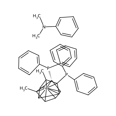 CN(C)c1ccccc1.C[C]12[CH]3[CH]4[CH]5[C]1(P(c1ccccc1)c1ccccc1)[Fe]43521678[CH]2[CH]1[C]6(C)[C@@]7(P(c1ccccc1)c1ccccc1)[CH]28